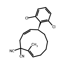 C/C1=C\CCCC[C@H](c2c(Cl)cccc2Cl)/C=C\CC1(C#N)C#N